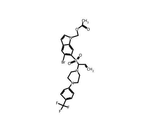 C=CC(N1CCN(c2ccc(C(F)(F)F)cc2)CC1)S(=O)(=O)c1cc2c(ccn2COC(C)=O)cc1Br